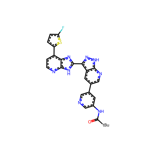 CC(C)(C)C(=O)Nc1cncc(-c2cnc3[nH]nc(-c4nc5c(-c6ccc(F)s6)ccnc5[nH]4)c3c2)c1